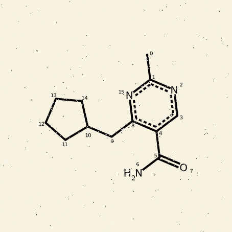 Cc1ncc(C(N)=O)c(CC2CCCC2)n1